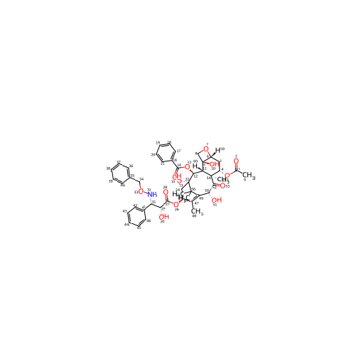 CC(=O)O[C@H]1C[C@H]2OC[C@@]2(O)[C@H]2[C@H](OC(=O)c3ccccc3)[C@]3(O)C[C@H](OC(=O)[C@H](O)[C@@H](NOCc4ccccc4)c4ccccc4)C(C)=C([C@@H](O)C(=O)[C@]12C)C3(C)C